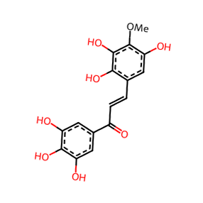 COc1c(O)cc(/C=C/C(=O)c2cc(O)c(O)c(O)c2)c(O)c1O